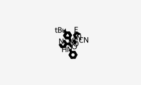 CC(C)(C)c1ccc(N(C(=O)[C@H]2C[C@@H](F)CN2C#N)[C@@H](C(=O)NC2CCCCC2)c2cccnc2)cc1